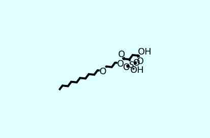 CCCCCCCCCCOCCCOC(=O)C(CC(=O)O)S(=O)(=O)O